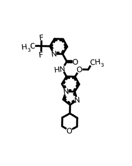 CCOc1cc2nc(C3CCOCC3)cn2cc1NC(=O)c1cccc(C(C)(F)F)n1